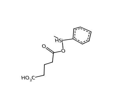 C[SiH](OC(=O)CCCC(=O)O)c1ccccc1